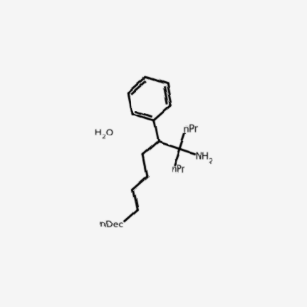 CCCCCCCCCCCCCCC(c1ccccc1)C(N)(CCC)CCC.O